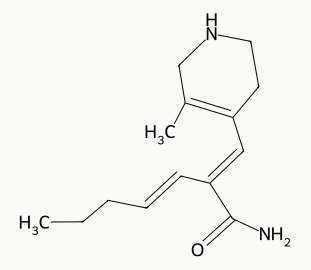 CCC/C=C/C(=C\C1=C(C)CNCC1)C(N)=O